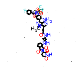 C[C@H](Oc1cc(-c2nn(C)c3c(C#CC(=O)N[C@H]4C[C@H](Nc5cccc6c5C(=O)N(C5CCC(=O)NC5=O)C6=O)C4)cnc(N)c23)ccc1NS(=O)(=O)C(F)F)c1ccc(F)cc1